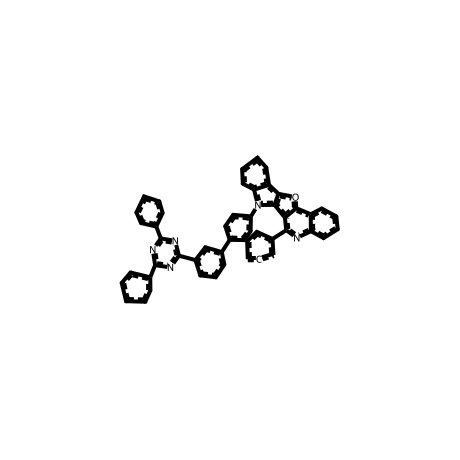 c1ccc(-c2nc(-c3ccccc3)nc(-c3cccc(-c4ccc(-n5c6ccccc6c6oc7c8ccccc8nc(-c8ccccc8)c7c65)cc4)c3)n2)cc1